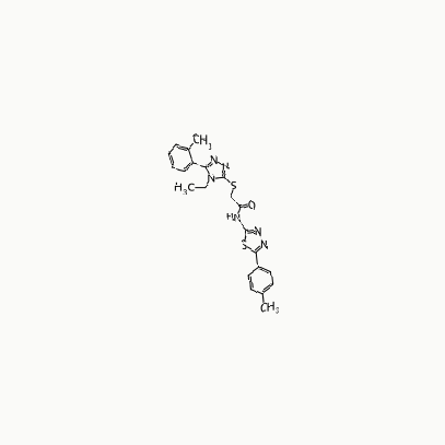 CCn1c(SCC(=O)Nc2nnc(-c3ccc(C)cc3)s2)nnc1-c1ccccc1C